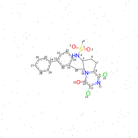 CS(=O)(=O)NC1CCc2c(Cl)nc(Cl)c(=O)n2C1Cc1cccc(-c2ccccc2)c1